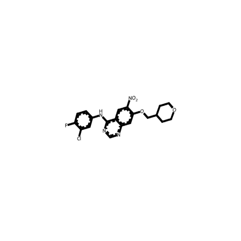 O=[N+]([O-])c1cc2c(Nc3ccc(F)c(Cl)c3)ncnc2cc1OCC1CCOCC1